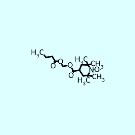 CCCC(=O)OCOC(=O)C1CC(C)(C)N([O])C(C)(C)C1